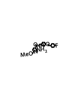 COCc1ccc(C(=O)NCc2ccc(OCc3ccc(F)cc3)cc2)c(N)n1